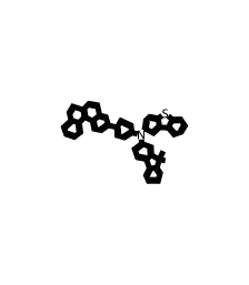 CC1(C)c2ccccc2-c2ccc(N(c3ccc(-c4ccc5c(ccc6ccc7ccccc7c65)c4)cc3)c3ccc4sc5ccccc5c4c3)cc21